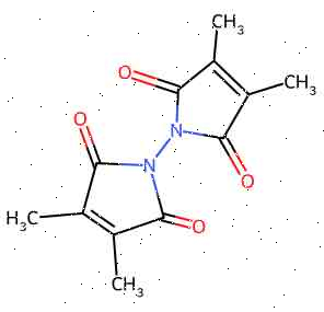 CC1=C(C)C(=O)N(N2C(=O)C(C)=C(C)C2=O)C1=O